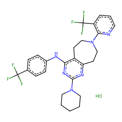 Cl.FC(F)(F)c1ccc(Nc2nc(N3CCCCC3)nc3c2CCN(c2ncccc2C(F)(F)F)CC3)cc1